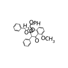 COc1cccc(OC)c1C(=O)C(C(=O)OCc1ccccc1)c1ccccc1.O=P